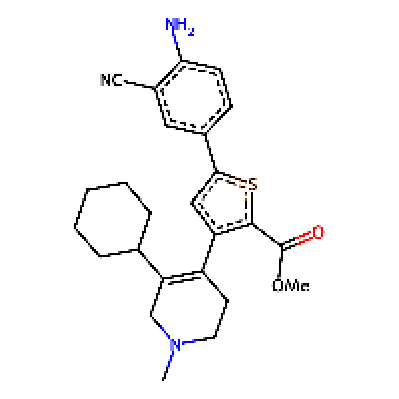 COC(=O)c1sc(-c2ccc(N)c(C#N)c2)cc1C1=C(C2CCCCC2)CN(C)CC1